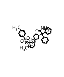 Cc1ccc(S(=O)(=O)OC2(C)N([C@H]3CC[C@@H](C(C(N)=O)(c4ccccc4)c4ccccc4)C3)CC[N+]2C)cc1